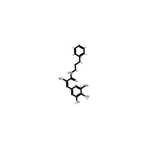 CC(C)c1cc(C=C(C#N)C(=S)NCCCc2ccccc2)cc(C(C)C)c1O